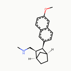 CNC[C@@H]1[C@@H]2CC[C@@H](C2)[C@@H]1c1ccc2cc(OC)ccc2c1